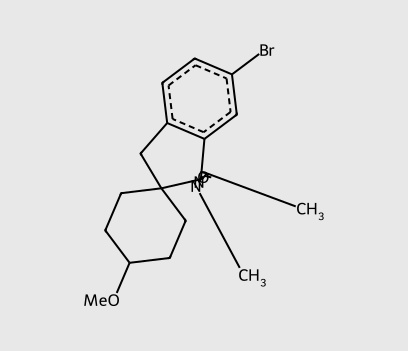 COC1CCC2(CC1)Cc1ccc(Br)cc1C21N=C(C)N(C)O1